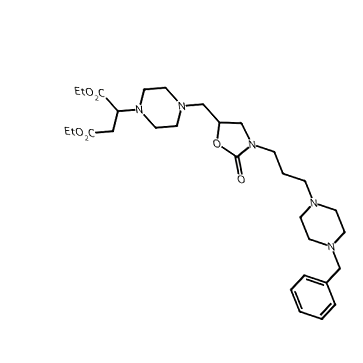 CCOC(=O)CC(C(=O)OCC)N1CCN(CC2CN(CCCN3CCN(Cc4ccccc4)CC3)C(=O)O2)CC1